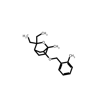 CCC1(CC)OC2(C)CCC1CC2OCc1ccccc1C